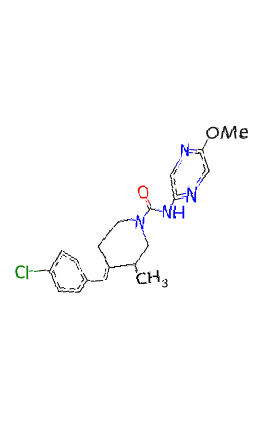 COc1cnc(NC(=O)N2CCC(=Cc3ccc(Cl)cc3)C(C)C2)cn1